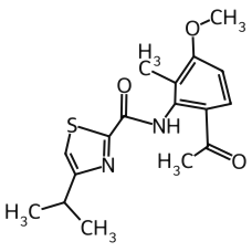 COc1ccc(C(C)=O)c(NC(=O)c2nc(C(C)C)cs2)c1C